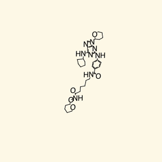 O=C(CCCCCNC(=O)c1ccc(Nc2nc(NC3CCCCC3)c3ncn(C4CCCCO4)c3n2)cc1)NOC1CCCCO1